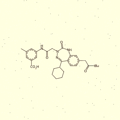 Cc1cc(NC(=O)CN2N=C(C3CCCCC3)c3ccc(CC(=O)C(C)(C)C)cc3NC2=O)cc(C(=O)O)c1